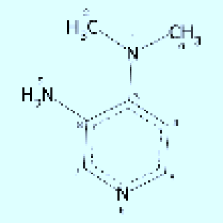 CN(C)c1ccncc1N